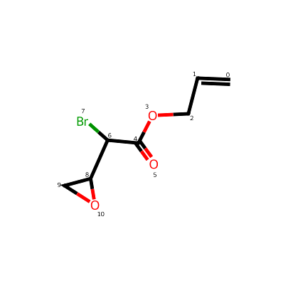 C=CCOC(=O)C(Br)C1CO1